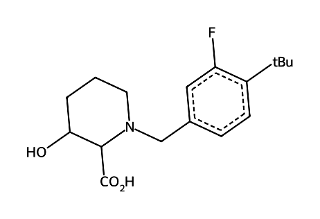 CC(C)(C)c1ccc(CN2CCCC(O)C2C(=O)O)cc1F